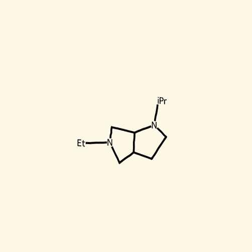 CCN1CC2CCN(C(C)C)C2C1